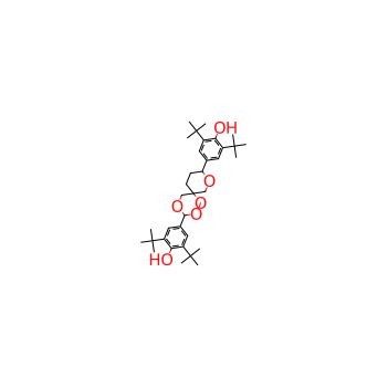 CC(C)(C)c1cc(C2CCC3(CO2)COC(c2cc(C(C)(C)C)c(O)c(C(C)(C)C)c2)OO3)cc(C(C)(C)C)c1O